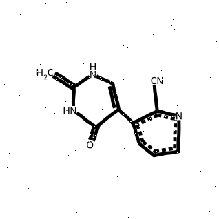 C=C1NC=C(c2cccnc2C#N)C(=O)N1